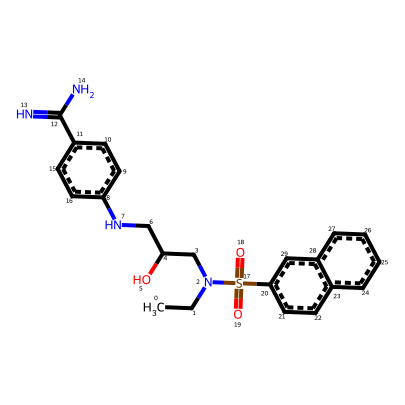 CCN(CC(O)CNc1ccc(C(=N)N)cc1)S(=O)(=O)c1ccc2ccccc2c1